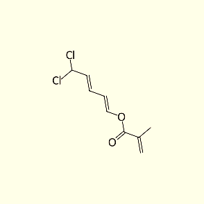 C=C(C)C(=O)OC=CC=CC(Cl)Cl